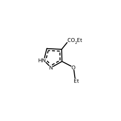 CCOC(=O)c1c[nH]nc1OCC